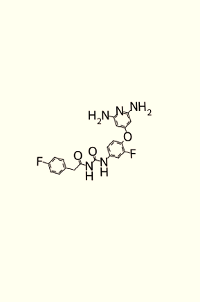 Nc1cc(Oc2ccc(NC(=O)NC(=O)Cc3ccc(F)cc3)cc2F)cc(N)n1